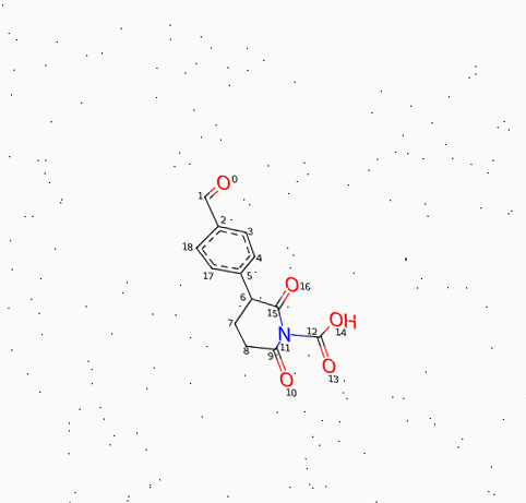 O=Cc1ccc(C2CCC(=O)N(C(=O)O)C2=O)cc1